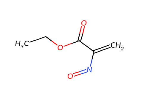 C=C(N=O)C(=O)OCC